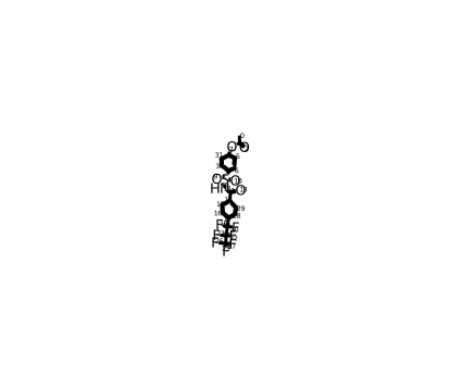 CC(=O)Oc1ccc(S(=O)(=O)NC(=O)c2ccc(C(F)(F)C(F)(F)C(F)(F)F)cc2)cc1